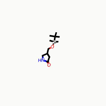 CC(C)(C)[Si](C)(C)OCC1CNC(=O)C1